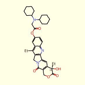 CCc1c2c(nc3ccc(OC(=O)CN(C4CCCCC4)C4CCCCC4)cc13)-c1cc3c(c(=O)n1C2)COC(=O)[C@]3(O)CC